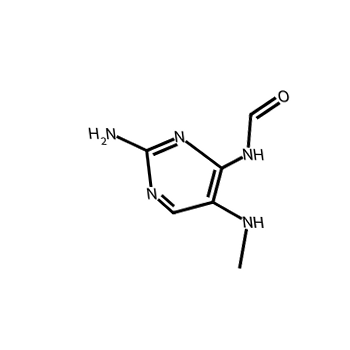 CNc1cnc(N)nc1NC=O